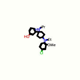 CCN(c1ccc(Cl)cc1OC)C1CCC(NC(C)C)(c2cccc(O)c2)CC1